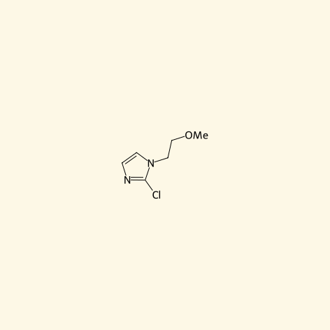 COCCn1ccnc1Cl